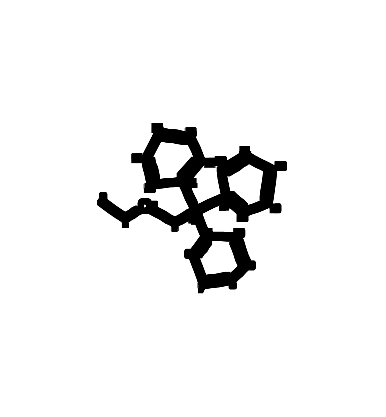 CCOCC(c1ccccc1)(c1ccccc1)c1ccccc1